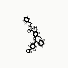 O=C(NCCc1ccccc1)c1ccc2c(c1)N=C(c1ccc(Cl)cc1)c1ccccc1S2